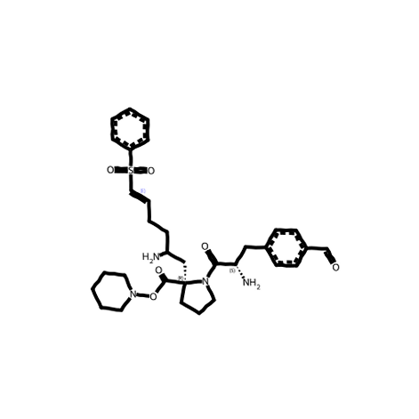 NC(CC/C=C/S(=O)(=O)c1ccccc1)C[C@@]1(C(=O)ON2CCCCC2)CCCN1C(=O)[C@@H](N)Cc1ccc(C=O)cc1